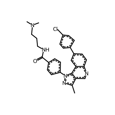 Cc1nn(-c2ccc(C(=O)NCCCN(C)C)cc2)c2c1cnc1ccc(-c3ccc(Cl)cc3)cc12